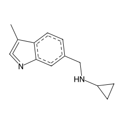 CC1=C=Nc2cc(CNC3CC3)ccc21